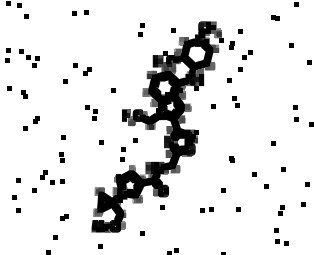 COCC1(n2ccc(C(=O)NCc3nc(-c4cc5c(N[C@@H]6CCN(C)C[C@@H]6C)cccc5n4CC(F)(F)F)no3)c2)CC1